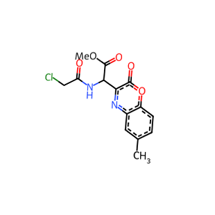 COC(=O)C(NC(=O)CCl)c1nc2cc(C)ccc2oc1=O